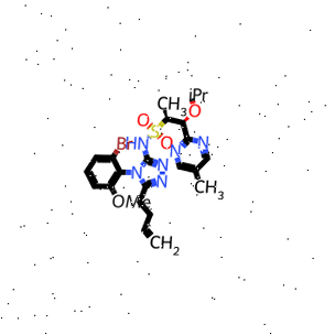 C=CCCc1nnc(NS(=O)(=O)[C@@H](C)[C@@H](OC(C)C)c2ncc(C)cn2)n1-c1c(Br)cccc1OC